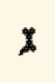 CCO[Si](C)(C)c1ccc(N(c2ccccc2)c2ccc(-c3ccc(N(c4ccccc4)c4ccccc4)cc3)cc2)cc1